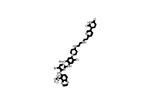 CCc1cc(Nc2ncc(Br)c(Nc3ccc4nccnc4c3P(C)(C)=O)n2)c(OC)cc1N1CCC(NCCNCCc2ccc(C3CCC(=O)NC3=O)cn2)CC1